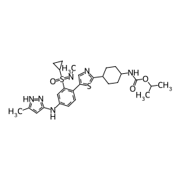 CN=S(=O)(c1cc(Nc2cc(C)[nH]n2)ccc1-c1cnc(C2CCC(NC(=O)OC(C)C)CC2)s1)C1CC1